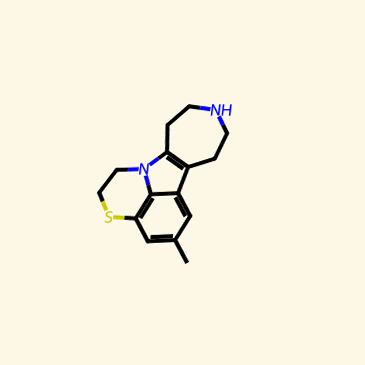 Cc1cc2c3c(c1)c1c(n3CCS2)CCNCC1